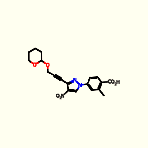 Cc1cc(-n2cc([N+](=O)[O-])c(C#CCOC3CCCCO3)n2)ccc1C(=O)O